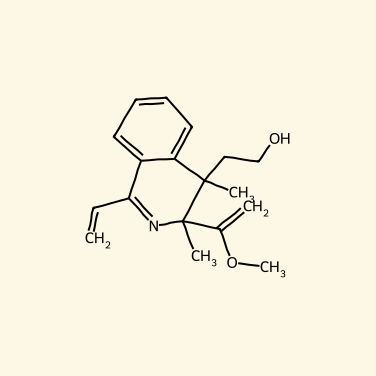 C=CC1=NC(C)(C(=C)OC)C(C)(CCO)c2ccccc21